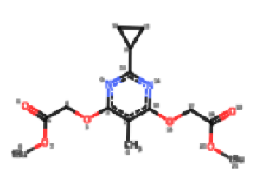 Cc1c(OCC(=O)OC(C)(C)C)nc(C2CC2)nc1OCC(=O)OC(C)(C)C